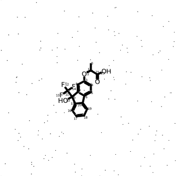 CC(Oc1ccc2c(c1)C(O)(C(F)(F)F)c1ccccc1-2)C(=O)O